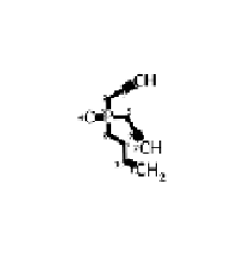 C#CCP(=O)(CC#C)CCC=C